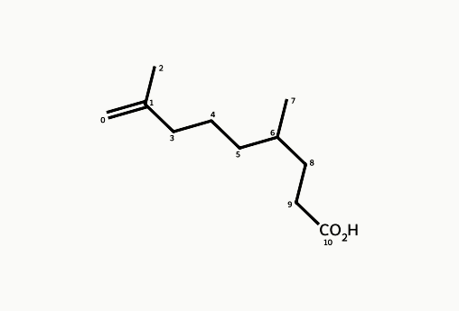 C=C(C)CCCC(C)CCC(=O)O